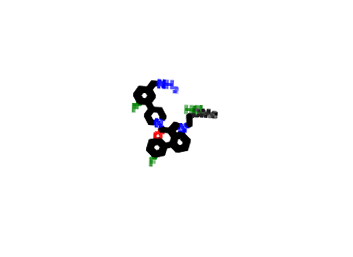 COCCn1cc(C(=O)N2CCC(c3cc(CN)ccc3F)CC2)c2c(-c3cccc(F)c3)cccc21.Cl